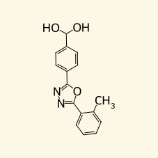 Cc1ccccc1-c1nnc(-c2ccc(C(O)O)cc2)o1